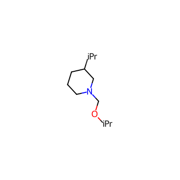 CC(C)OCN1CCCC(C(C)C)C1